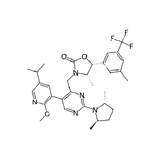 COc1ncc(C(C)C)cc1-c1cnc(N2[C@H](C)CC[C@H]2C)nc1CN1C(=O)O[C@H](c2cc(C)cc(C(F)(F)F)c2)[C@@H]1C